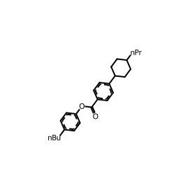 CCCCc1ccc(OC(=O)c2ccc(C3CCC(CCC)CC3)cc2)cc1